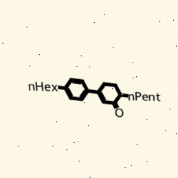 CCCCCCc1ccc(C2=CC(=O)C(CCCCC)CC2)cc1